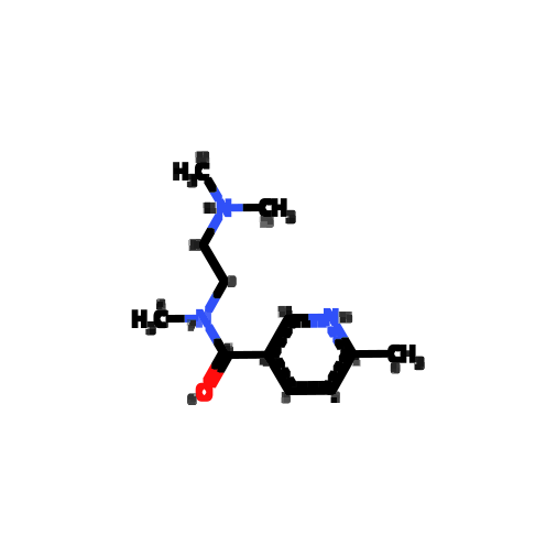 Cc1ccc(C(=O)N(C)CCN(C)C)cn1